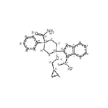 C[S+]([O-])n1c2ccccc2cc1[C@]1(OCC2CC2)CC[C@](C(N)=O)(c2ccccc2)CC1